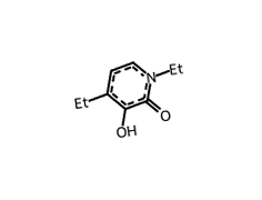 CCc1ccn(CC)c(=O)c1O